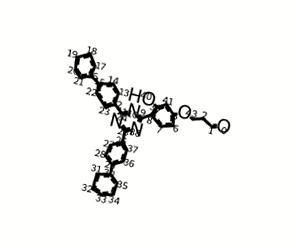 O=CCCOc1ccc(-c2nc(-c3ccc(-c4ccccc4)cc3)nc(-c3ccc(-c4ccccc4)cc3)n2)c(O)c1